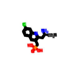 N[C@H](Cc1nc2cc(Cl)ccc2cc1CP(=O)(O)O)C(=O)O